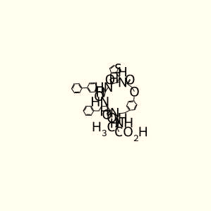 C[C@@H](NC(=O)[C@@H]1Cc2ccc(cc2)OCC(=O)N[C@H](Cc2cccs2)C(=O)N[C@@H](Cc2ccc(-c3ccccc3)cc2)C(=O)N[C@H](CCc2ccccc2)C(=O)N1)C(=O)O